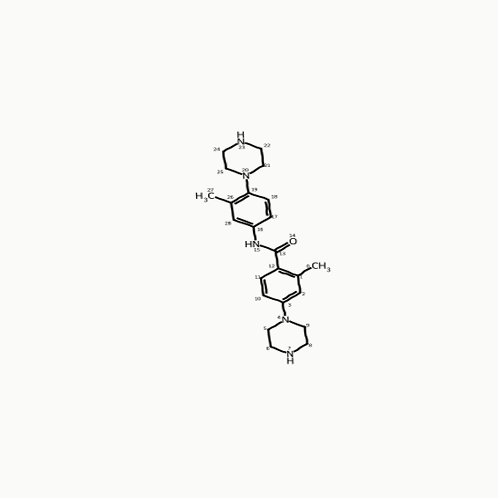 Cc1cc(N2CCNCC2)ccc1C(=O)Nc1ccc(N2CCNCC2)c(C)c1